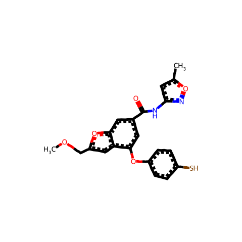 COCc1cc2c(Oc3ccc(S)cc3)cc(C(=O)Nc3cc(C)on3)cc2o1